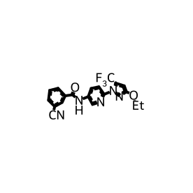 CCOc1cc(C(F)(F)F)n(-c2ccc(NC(=O)c3cccc(C#N)c3)cn2)n1